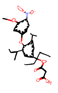 CCC(CC)(OC(=O)CC(=O)O)c1cc(C(C)C)c(Oc2ccc([N+](=O)[O-])c(OC)c2)c(C(C)C)c1